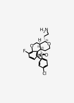 NCC[C@@H]1OCC[C@@]2(S(=O)(=O)c3ccc(Cl)cc3)c3c(F)ccc(F)c3OC[C@@H]12